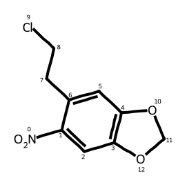 O=[N+]([O-])c1cc2c(cc1CCCl)OCO2